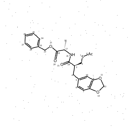 CC(=O)SC[C@@H](Cc1ccc2c(c1)OCO2)C(=O)N[C@@H](C)C(=O)OCc1ccccc1